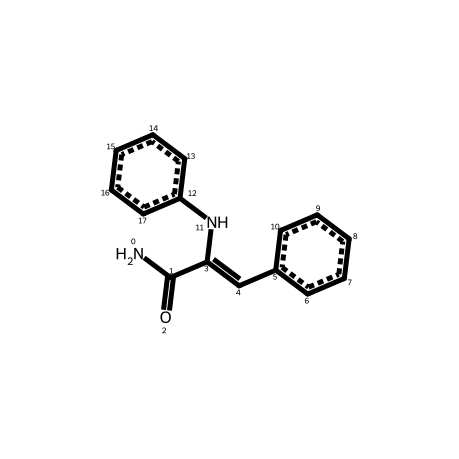 NC(=O)C(=Cc1ccccc1)Nc1ccccc1